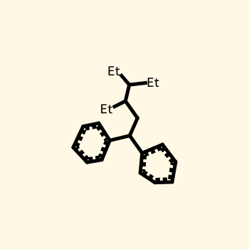 CCC(CC)C(CC)CC(c1ccccc1)c1ccccc1